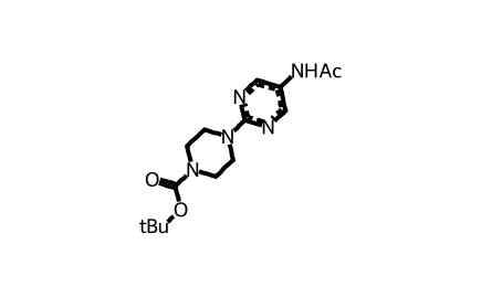 CC(=O)Nc1cnc(N2CCN(C(=O)OC(C)(C)C)CC2)nc1